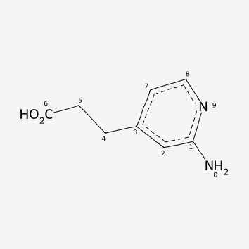 Nc1cc(CCC(=O)O)ccn1